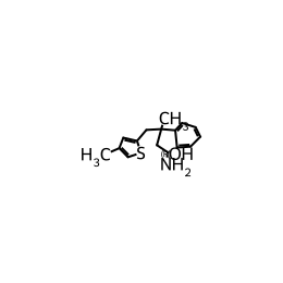 Cc1csc(CC(C)(C[C@H](N)O)c2ccccc2)c1